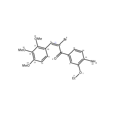 CCOc1cc(C(=O)/C(Br)=C\c2ccc(OC)c(OC)c2OC)ccc1N